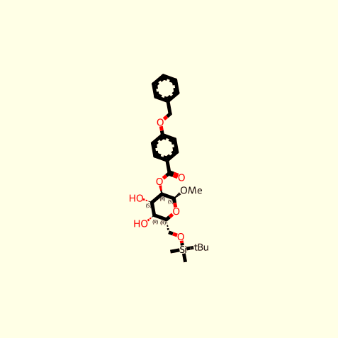 CO[C@H]1O[C@H](CO[Si](C)(C)C(C)(C)C)[C@H](O)[C@H](O)[C@H]1OC(=O)c1ccc(OCc2ccccc2)cc1